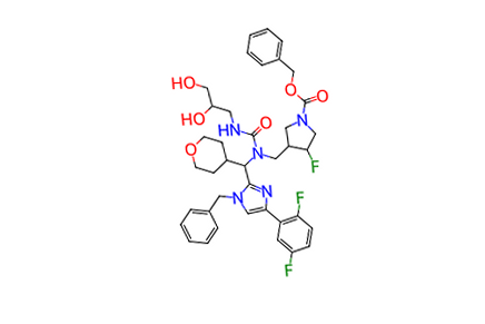 O=C(OCc1ccccc1)N1CC(F)C(CN(C(=O)NCC(O)CO)C(c2nc(-c3cc(F)ccc3F)cn2Cc2ccccc2)C2CCOCC2)C1